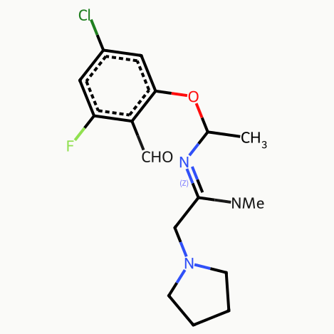 CN/C(CN1CCCC1)=N\C(C)Oc1cc(Cl)cc(F)c1C=O